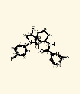 Cc1nccc(C(=O)NC2CCCC3(C2)C(=O)N(c2ccc(F)cc2)CC3F)n1